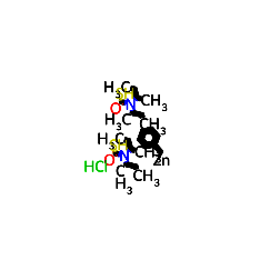 CCC(C)N(C(=O)S)C(C)CC.CCC(C)N(C(=O)S)C(C)CC.Cl.[Zn][CH2]c1ccccc1